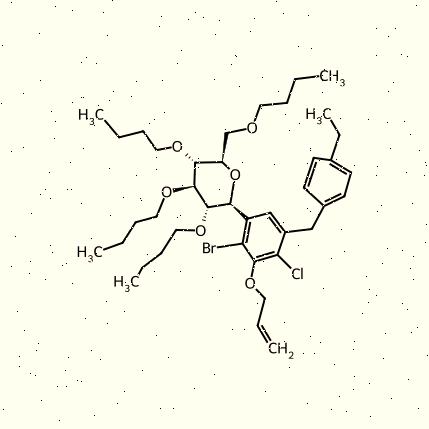 C=CCOc1c(Cl)c(Cc2ccc(CC)cc2)cc([C@@H]2O[C@H](COCCCC)[C@@H](OCCCC)[C@H](OCCCC)[C@H]2OCCCC)c1Br